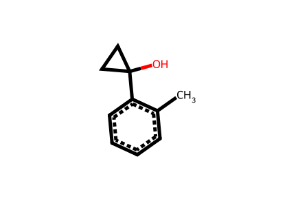 Cc1ccccc1C1(O)CC1